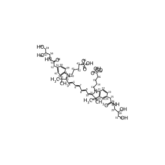 CC1(C)C(/C=C/C=C/C=C/C=C2\N(CCCCS(=O)(=O)O)c3ccc(CC(=O)NCC(O)CO)cc3C2(C)C)=[N+](CCCCS(=O)(=O)O)c2ccc(CC(=O)NCC(O)CO)cc21